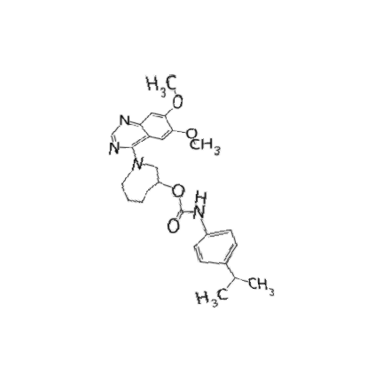 COc1cc2ncnc(N3CCCC(OC(=O)Nc4ccc(C(C)C)cc4)C3)c2cc1OC